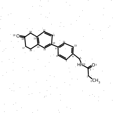 CCC(=O)NCc1ccc(-c2ccc3c(c2)CCC(=O)C3)cc1